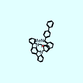 CN/C(=C1/C=CCC/C1=N/Cn1c2ccccc2c2ccc3c4ccccc4n(C4C=CC=CC4)c3c21)c1ccc(-c2ccccc2)cc1